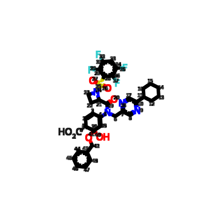 O=C(O)[C@@H]1C=CC(N(Cc2cnc(C3CCCCC3)cn2)C(=O)C2CCN2S(=O)(=O)c2c(F)c(F)cc(F)c2F)=CC1(O)OCc1ccccc1